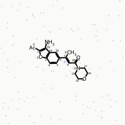 CC(=O)c1oc2ccc(/C(C)=C/C(=O)N3CCOCC3)cc2c1N